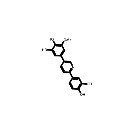 COc1cc(-c2ccc(-c3ccc(O)c(O)c3)nc2)cc(O)c1O